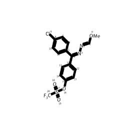 CO/C=N/N=C(\c1ccc(Cl)cc1)c1ccc(OS(=O)(=O)C(F)(F)F)cc1